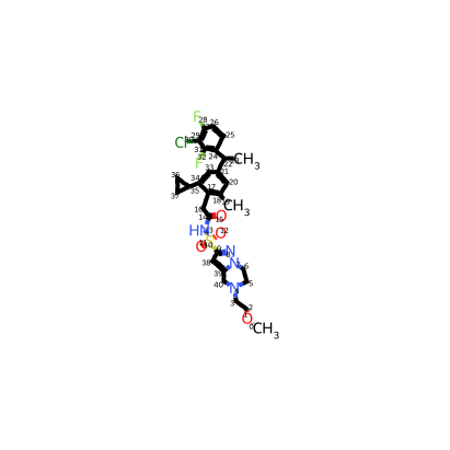 COCCN1CCn2nc(S(=O)(=O)NC(=O)Cc3c(C)cc(C(C)c4ccc(F)c(Cl)c4F)cc3C3CC3)cc2C1